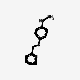 NNc1ccc(SCc2ccccn2)cc1